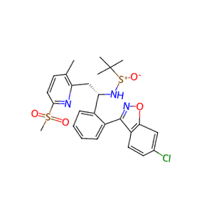 Cc1ccc(S(C)(=O)=O)nc1C[C@H](N[S+]([O-])C(C)(C)C)c1ccccc1-c1noc2cc(Cl)ccc12